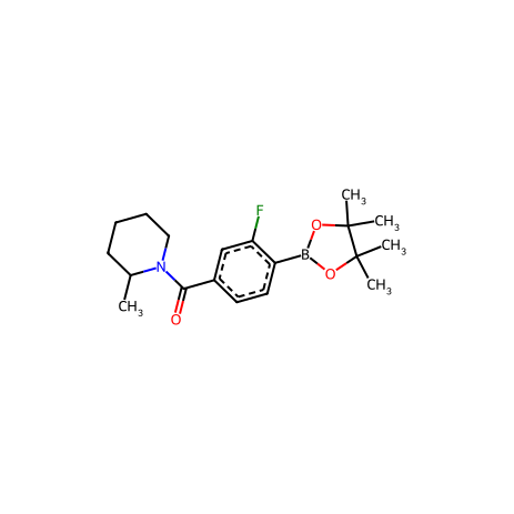 CC1CCCCN1C(=O)c1ccc(B2OC(C)(C)C(C)(C)O2)c(F)c1